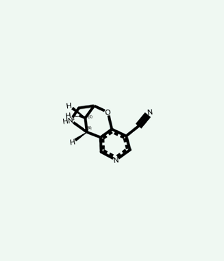 C[C@@H]1C2CN[C@H]1c1cncc(C#N)c1O2